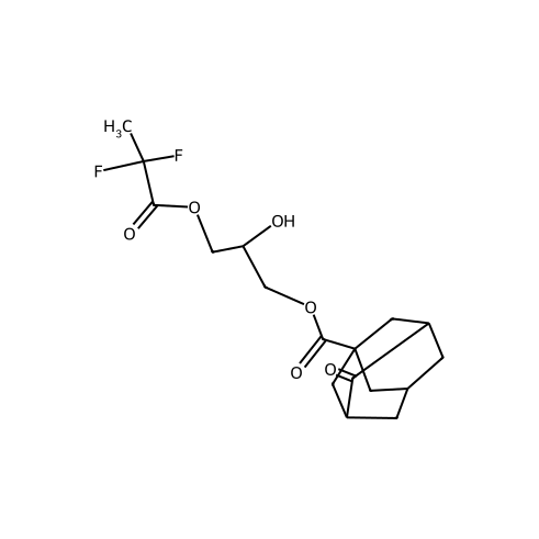 CC(F)(F)C(=O)OCC(O)COC(=O)C12CC3CC(C1)C(=O)C(C3)C2